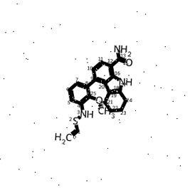 C=CSNc1cccc(-c2ccc(C(N)=O)c3[nH]c4c(c23)CCCC4)c1OC